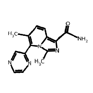 Cc1ccc2c(C(N)=O)nc(C)n2c1-c1cnccn1